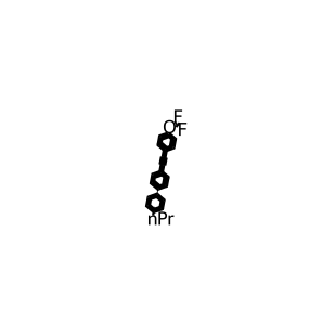 CCC[C@H]1CC[C@H](c2ccc(C#Cc3ccc(OC(F)F)cc3)cc2)CC1